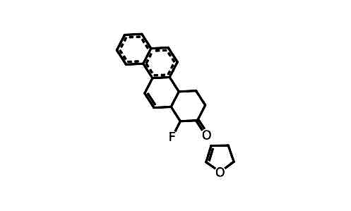 C1=COCC1.O=C1CCC2c3ccc4ccccc4c3C=CC2C1F